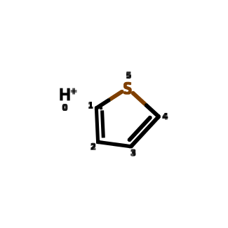 [H+].[c]1cccs1